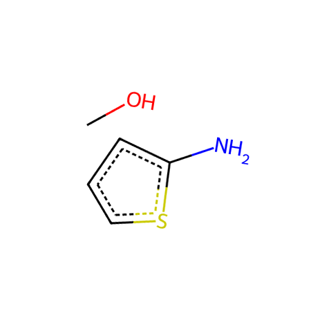 CO.Nc1cccs1